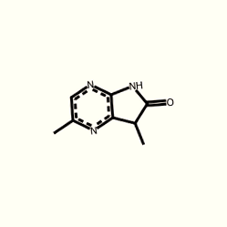 Cc1cnc2c(n1)C(C)C(=O)N2